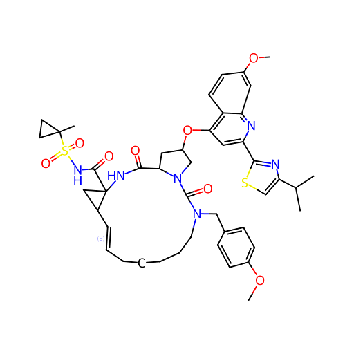 COc1ccc(CN2CCCCC/C=C/C3CC3(C(=O)NS(=O)(=O)C3(C)CC3)NC(=O)C3CC(Oc4cc(-c5nc(C(C)C)cs5)nc5cc(OC)ccc45)CN3C2=O)cc1